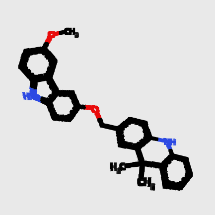 COc1ccc2[nH]c3ccc(OCc4ccc5c(c4)C(C)(C)c4ccccc4N5)cc3c2c1